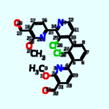 COc1nc(-c2cccc(-c3ccnc(-c4ccc(C=O)c(OC)n4)c3Cl)c2Cl)ccc1C=O